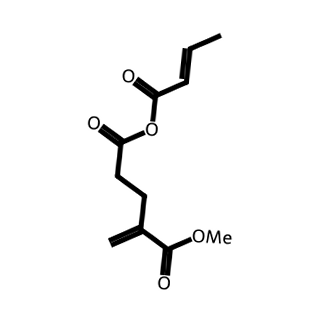 C=C(CCC(=O)OC(=O)C=CC)C(=O)OC